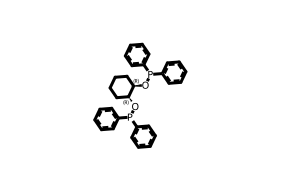 c1ccc(P(O[C@@H]2CCCC[C@H]2OP(c2ccccc2)c2ccccc2)c2ccccc2)cc1